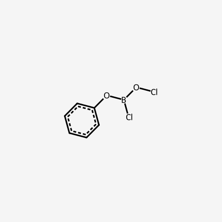 ClOB(Cl)Oc1ccccc1